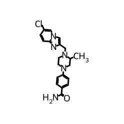 CC1CN(c2ccc(C(N)=O)cc2)CCN1Cc1cn2cc(Cl)ccc2n1